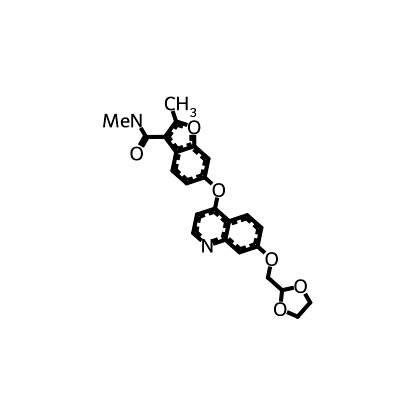 CNC(=O)c1c(C)oc2cc(Oc3ccnc4cc(OCC5OCCO5)ccc34)ccc12